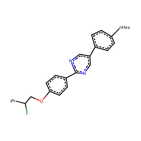 CCCCCCc1ccc(-c2cnc(-c3ccc(OCC(F)C(C)C)cc3)nc2)cc1